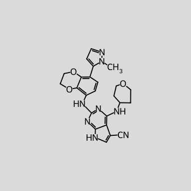 Cn1nccc1-c1ccc(Nc2nc(NC3CCOCC3)c3c(C#N)c[nH]c3n2)c2c1OCCO2